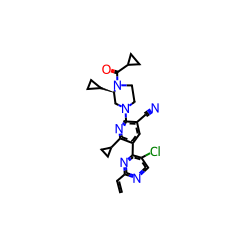 C=Cc1ncc(Cl)c(-c2cc(C#N)c(N3CCN(C(=O)C4CC4)[C@H](C4CC4)C3)nc2C2CC2)n1